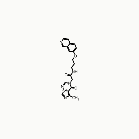 CC1=C2C(=O)N(CC(=O)NCCCOc3ccc4ccncc4c3)C=N[N+]2C=N1